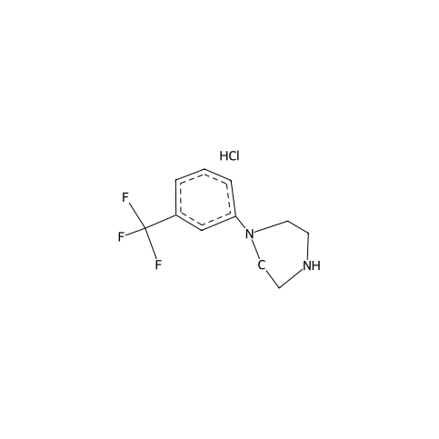 Cl.FC(F)(F)c1cccc(N2CCNCC2)c1